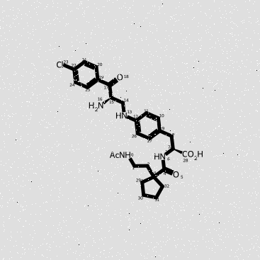 CC(=O)NCCC1(C(=O)N[C@@H](Cc2ccc(NC[C@@H](N)C(=O)c3ccc(Cl)cc3)cc2)C(=O)O)CCCC1